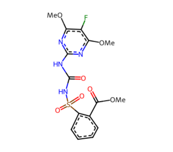 COC(=O)c1ccccc1S(=O)(=O)NC(=O)Nc1nc(OC)c(F)c(OC)n1